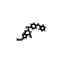 COc1cc2c(=O)oc(Nc3ccc(Oc4ccccc4)cc3)nc2s1